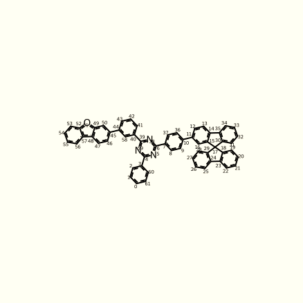 c1ccc(-c2nc(-c3ccc(-c4ccc5c(c4)C4(c6ccccc6-c6ccccc64)c4ccccc4-5)cc3)nc(-c3cccc(-c4ccc5c(c4)oc4ccccc45)c3)n2)cc1